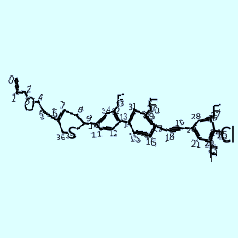 C=CCOCCC1CCC(c2ccc(-c3ccc(C#Cc4cc(F)c(Cl)c(F)c4)c(F)c3)c(F)c2)SC1